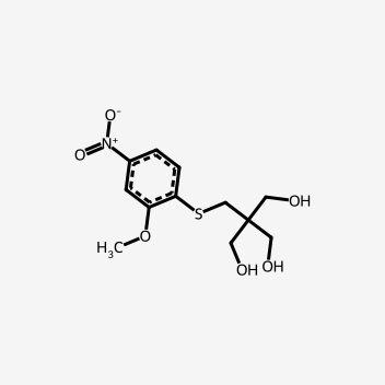 COc1cc([N+](=O)[O-])ccc1SCC(CO)(CO)CO